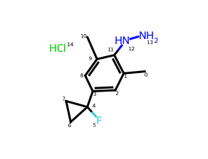 Cc1cc(C2(F)CC2)cc(C)c1NN.Cl